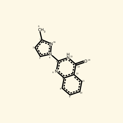 Cc1ccn(-c2nc3ccccc3c(=O)[nH]2)n1